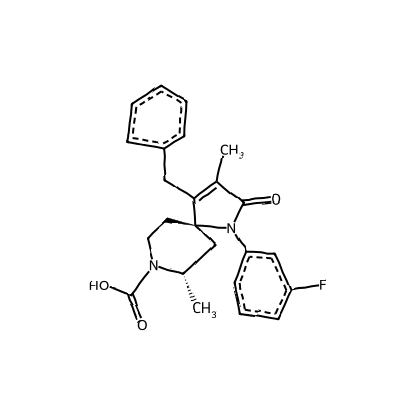 CC1=C(Cc2ccccc2)[C@]2(CCN(C(=O)O)[C@@H](C)C2)N(c2cccc(F)c2)C1=O